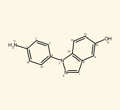 Nc1ccc(-n2ncc3cc(O)ccc32)cc1